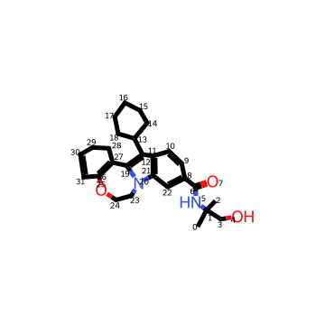 CC(C)(CO)NC(=O)c1ccc2c(C3CCCCC3)c3n(c2c1)CCOC1=C3CCC=C1